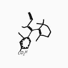 C=CC(C)=C(C1=C(C)CCCC1(C)C)c1ccc(C(=O)O)cc1C